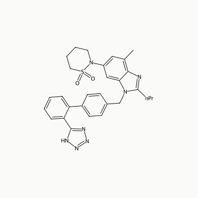 CCCc1nc2c(C)cc(N3CCCCS3(=O)=O)cc2n1Cc1ccc(-c2ccccc2-c2nnn[nH]2)cc1